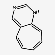 C1=CC=C2NC=NC=C2C=C1